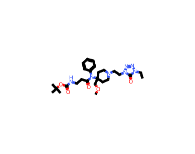 CCn1nnn(CCN2CCC(COC)(N(C(=O)CCNC(=O)OC(C)(C)C)c3ccccc3)CC2)c1=O